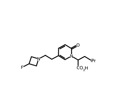 CC(C)CC(C(=O)O)n1cc(CCN2CC(F)C2)ccc1=O